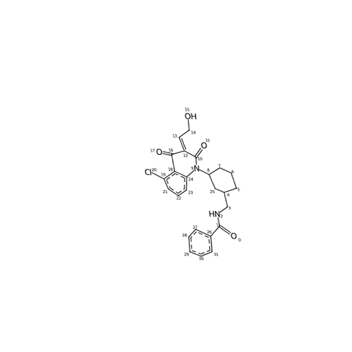 O=C(NCC1CCCC(N2C(=O)C(=CCO)C(=O)c3c(Cl)cccc32)C1)c1ccccc1